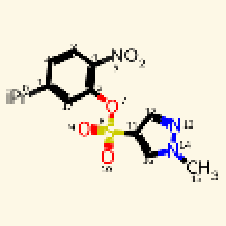 CC(C)c1ccc([N+](=O)[O-])c(OS(=O)(=O)c2cnn(C)c2)c1